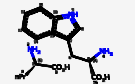 CCC[C@H](N)C(=O)O.N[C@H](Cc1c[nH]c2ccccc12)C(=O)O